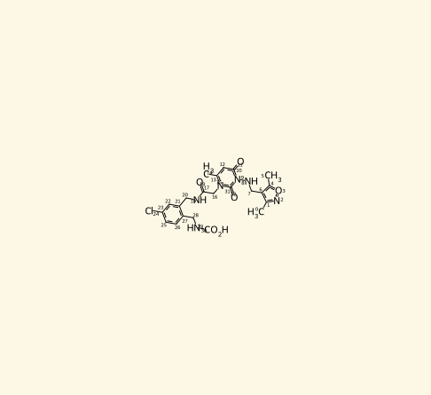 Cc1noc(C)c1CNn1c(=O)cc(C)n(CC(=O)NCc2cc(Cl)ccc2CNC(=O)O)c1=O